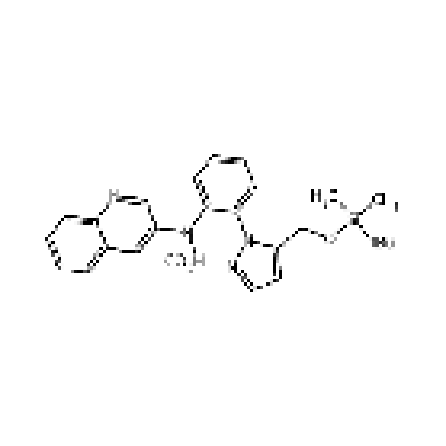 CC(C)(C)[Si](C)(C)OCc1ccnn1-c1ccccc1N(C(=O)O)c1cnc2ccccc2c1